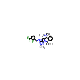 Cc1nc(NCc2cccc(C(F)F)c2F)c2cc(C(c3ccccc3)N(C)C)n(CC=O)c2n1